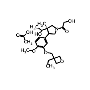 CC(=O)O.CCC1(COc2cc(C3CN(C(=O)CO)C[C@]3(C)C(C)O)ccc2OC)COC1